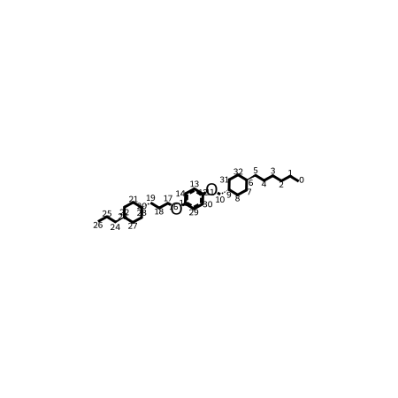 CCCCCC[C@H]1CC[C@H](COc2ccc(OCCC[C@H]3CC[C@H](CCC)CC3)cc2)CC1